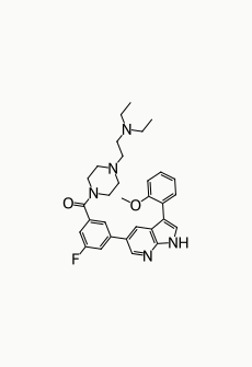 CCN(CC)CCN1CCN(C(=O)c2cc(F)cc(-c3cnc4[nH]cc(-c5ccccc5OC)c4c3)c2)CC1